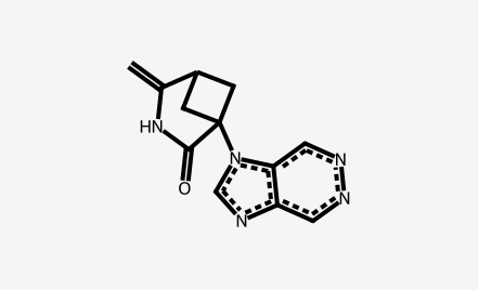 C=C1NC(=O)C2(n3cnc4cnncc43)CC1C2